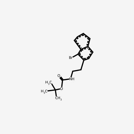 CC(C)(C)OC(=O)NCCc1ccc2ccccc2c1Br